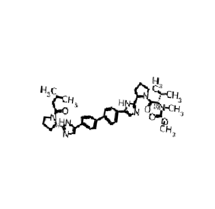 COC(=O)N(C)[C@H](C(=O)N1CCCC1c1ncc(-c2ccc(-c3ccc(-c4cnc([C@@H]5CCCN5C(=O)CC(C)C)[nH]4)cc3)cc2)[nH]1)C(C)C